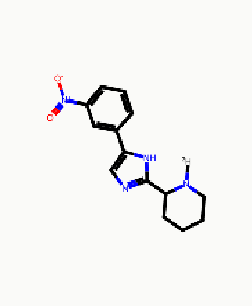 [2H]N1CCCCC1c1ncc(-c2cccc([N+](=O)[O-])c2)[nH]1